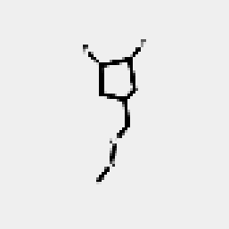 F[C@@H]1CC(COSI)C[C@@H]1F